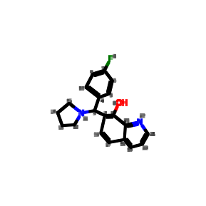 Oc1c(C(c2ccc(F)cc2)N2CCCC2)ccc2cccnc12